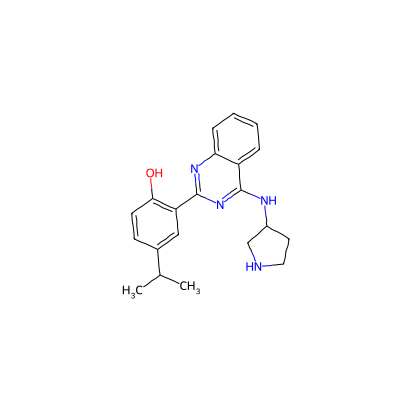 CC(C)c1ccc(O)c(-c2nc(NC3CCNC3)c3ccccc3n2)c1